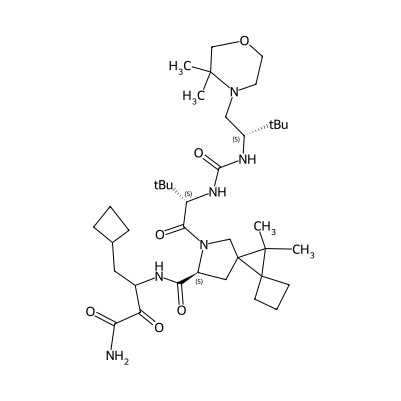 CC(C)(C)[C@H](NC(=O)N[C@H](CN1CCOCC1(C)C)C(C)(C)C)C(=O)N1CC2(C[C@H]1C(=O)NC(CC1CCC1)C(=O)C(N)=O)C(C)(C)C21CCC1